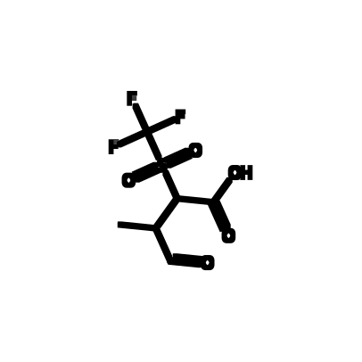 CC(C=O)C(C(=O)O)S(=O)(=O)C(F)(F)F